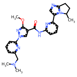 COc1nn(-c2cccc(CN(C)C)n2)cc1C(=O)Nc1cccc(-c2cnc3n2C(C)CC3)n1